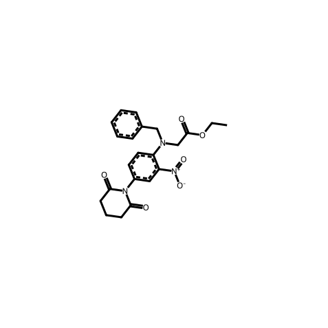 CCOC(=O)CN(Cc1ccccc1)c1ccc(N2C(=O)CCCC2=O)cc1[N+](=O)[O-]